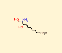 CCCCCCCCCCC/C=C/[C@H](O)[C@H](N)CO